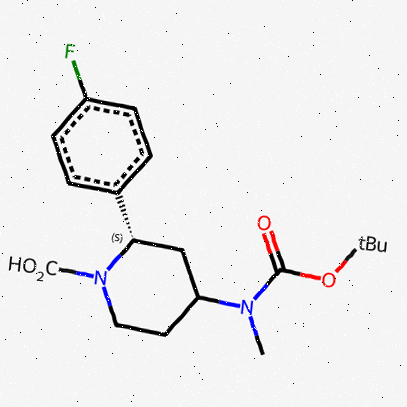 CN(C(=O)OC(C)(C)C)C1CCN(C(=O)O)[C@H](c2ccc(F)cc2)C1